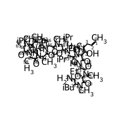 C/C=C\C[C@@H](C)[C@H](O)C(C(=O)N[C@@H](CC)C(=O)N(C)CC(=O)N(C)[C@H](C(N)=O)C(C)CC)N(C)C(=O)[C@H](C(C)C)N(C)C(=O)[C@@H](CC(C)C)N(C)C(=O)[C@@H](CC(C)C)N(C)C(=O)[C@H](C)NC(=O)[C@@H](C)NC(=O)[C@H](CC(C)C)N(C)C(=O)[C@@H](C)C(C)C